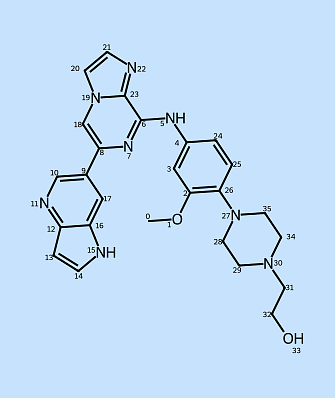 COc1cc(Nc2nc(-c3cnc4cc[nH]c4c3)cn3ccnc23)ccc1N1CCN(CCO)CC1